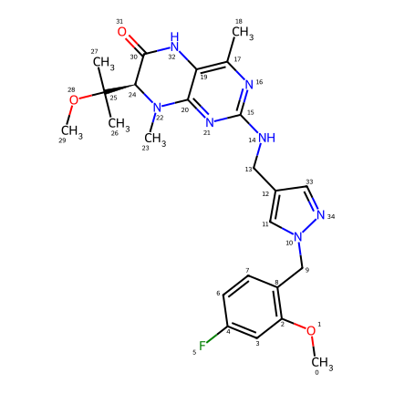 COc1cc(F)ccc1Cn1cc(CNc2nc(C)c3c(n2)N(C)[C@@H](C(C)(C)OC)C(=O)N3)cn1